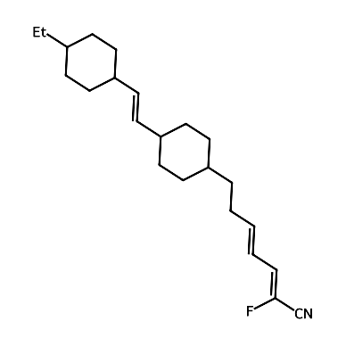 CCC1CCC(C=CC2CCC(CCC=CC=C(F)C#N)CC2)CC1